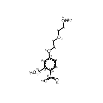 COCCOCCOc1ccc(I(=O)=O)c(S(=O)(=O)O)c1